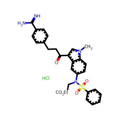 CCOC(=O)CN(c1ccc2c(c1)c(C(=O)CCc1ccc(C(=N)N)cc1)cn2C)S(=O)(=O)c1ccccc1.Cl